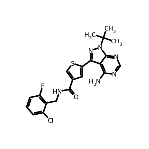 CC(C)(C)n1nc(-c2cc(C(=O)NCc3c(F)cccc3Cl)cs2)c2c(N)ncnc21